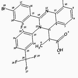 CC(C(=O)O)C1c2cccc(F)c2N=C(c2ccc(Br)cc2)N1c1cc(C(F)(F)F)ccc1F